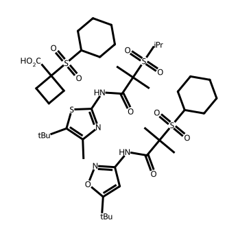 CC(C)(C)c1cc(NC(=O)C(C)(C)S(=O)(=O)C2CCCCC2)no1.Cc1nc(NC(=O)C(C)(C)S(=O)(=O)C(C)C)sc1C(C)(C)C.O=C(O)C1(S(=O)(=O)C2CCCCC2)CCC1